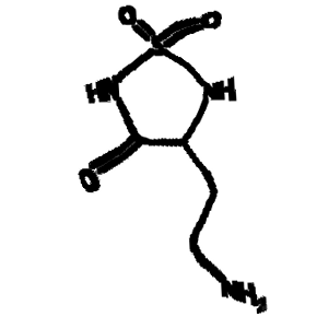 NCCC1NS(=O)(=O)NC1=O